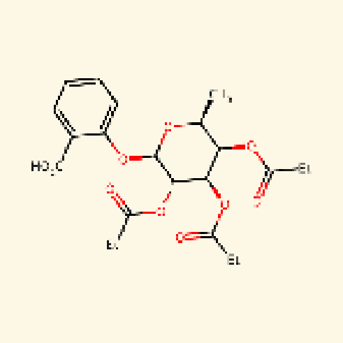 CCC(=O)O[C@H]1[C@H](OC(=O)CC)[C@@H](Oc2ccccc2C(=O)O)O[C@@H](C)[C@H]1OC(=O)CC